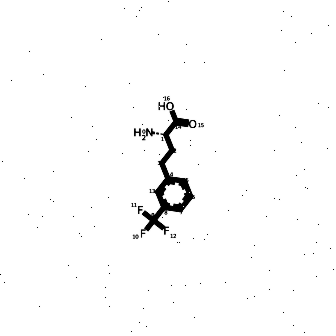 N[C@@H](CCc1cccc(C(F)(F)F)c1)C(=O)O